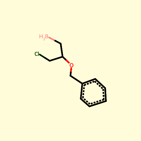 BCC(CCl)OCc1ccccc1